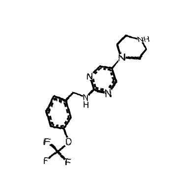 FC(F)(F)Oc1cccc(CNc2ncc(N3CCNCC3)cn2)c1